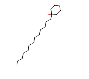 OCCCCCCCCCCCCC1(O)CCCCC1